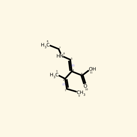 C/C=C(C)\C(=C/NCC)C(=O)O